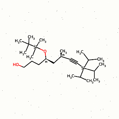 CC(C)[Si](C#C[C@H](C)C[C@@H](CCCO)O[Si](C)(C)C(C)(C)C)(C(C)C)C(C)C